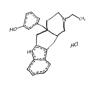 CCN1CCC2(c3cccc(O)c3)Cc3[nH]c4ccccc4c3CC2C1.Cl